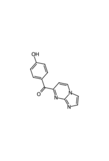 O=C(c1ccc(O)cc1)c1ccn2ccnc2n1